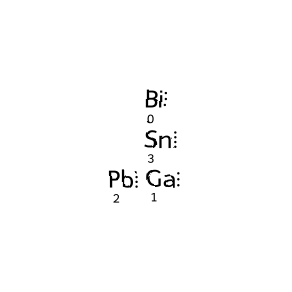 [Bi].[Ga].[Pb].[Sn]